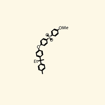 CCC(C)(c1ccc(C)cc1)c1ccc(Oc2ccc(S(=O)(=O)c3ccc(OC)cc3)cc2)cc1